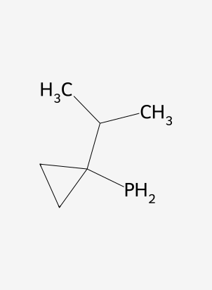 CC(C)C1(P)CC1